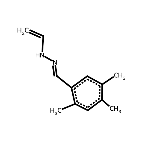 C=CN/N=C/c1cc(C)c(C)cc1C